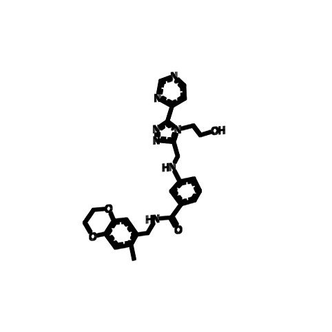 Cc1cc2c(cc1CNC(=O)c1cccc(NCc3nnc(-c4ccncn4)n3CCO)c1)OCCO2